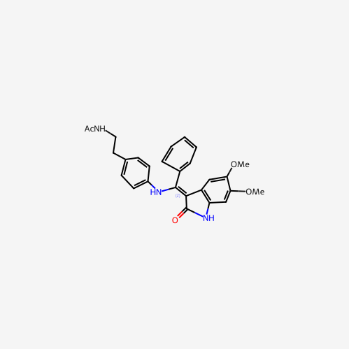 COc1cc2c(cc1OC)/C(=C(/Nc1ccc(CCNC(C)=O)cc1)c1ccccc1)C(=O)N2